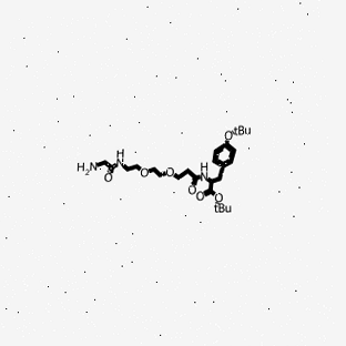 CC(C)(C)OC(=O)C(Cc1ccc(OC(C)(C)C)cc1)NC(=O)CCOCCOCCNC(=O)CN